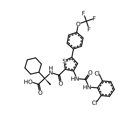 C[C@@](NC(=O)c1sc(-c2ccc(OC(F)(F)F)cc2)cc1NC(=O)Nc1c(Cl)cccc1Cl)(C(=O)O)C1CCCCC1